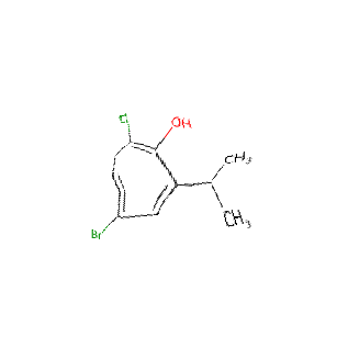 CC(C)c1cc(Br)cc(Cl)c1O